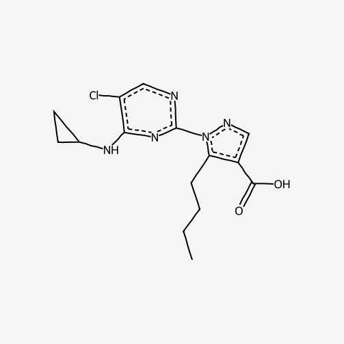 CCCCc1c(C(=O)O)cnn1-c1ncc(Cl)c(NC2CC2)n1